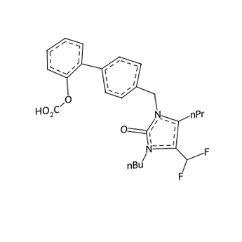 CCCCn1c(C(F)F)c(CCC)n(Cc2ccc(-c3ccccc3OC(=O)O)cc2)c1=O